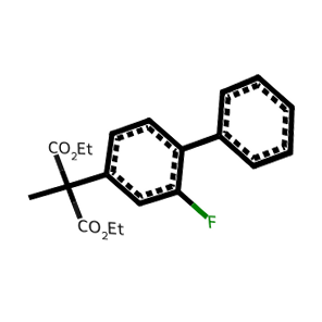 CCOC(=O)C(C)(C(=O)OCC)c1ccc(-c2ccccc2)c(F)c1